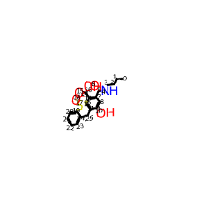 CCCCNC(=O)c1cc(O)c2c(c1C(=O)O)[S+]([O-])c1ccccc1C2